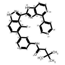 CC(C)(C)CC(=O)Nc1cncc(-c2ccc3[nH]nc(-c4nc5c(-c6ccncc6)nccc5[nH]4)c3c2F)c1